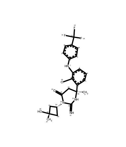 C[C@@]1(c2cccc(Nc3ccc(C(F)(F)F)cc3)c2Cl)CC(=O)N([C@H]2C[C@@](C)(O)C2)C(=N)N1